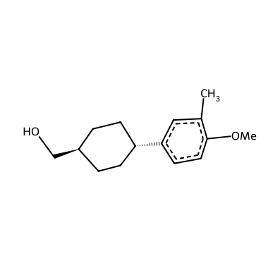 COc1ccc([C@H]2CC[C@H](CO)CC2)cc1C